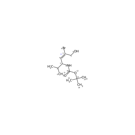 CC(C)C(/C=C(/Br)CO)NC(=O)OC(C)(C)C